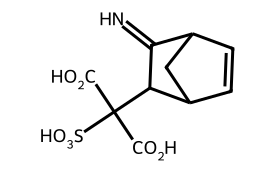 N=C1C2C=CC(C2)C1C(C(=O)O)(C(=O)O)S(=O)(=O)O